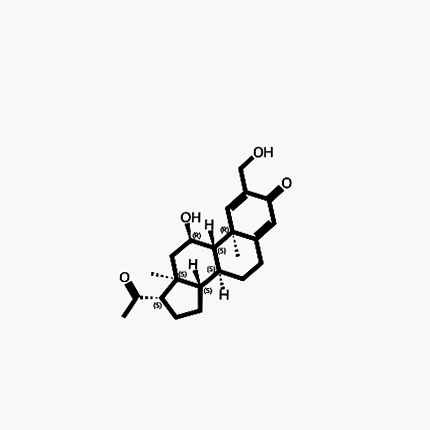 CC(=O)[C@H]1CC[C@H]2[C@@H]3CCC4=CC(=O)C(CO)=C[C@]4(C)[C@H]3[C@H](O)C[C@]12C